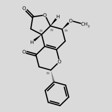 CO[C@H]1CC2=C(C(=O)C[C@@H](c3ccccc3)O2)[C@@H]2CC(=O)O[C@H]12